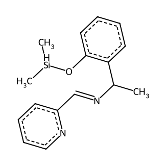 CC(N=Cc1ccccn1)c1ccccc1O[SiH](C)C